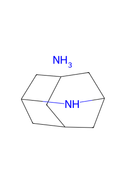 C1C2CC3CC1CC(C2)N3.N